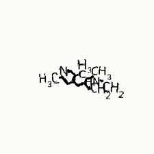 C=CN/C(C)=C\C(C=C)=C/c1cc(C)ncc1C